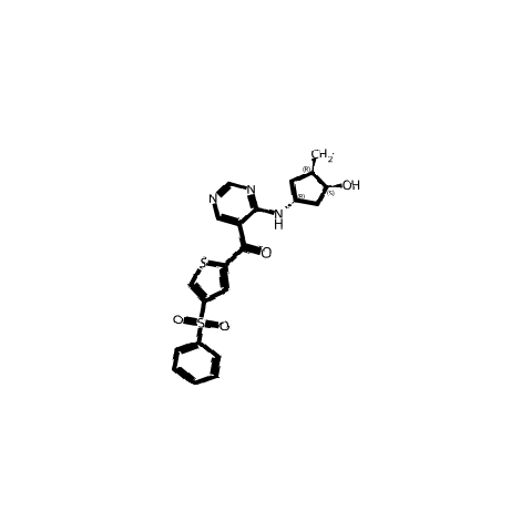 [CH2][C@@H]1C[C@@H](Nc2ncncc2C(=O)c2cc(S(=O)(=O)c3ccccc3)cs2)C[C@@H]1O